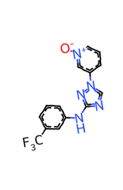 [O-][n+]1cccc(-n2cnc(Nc3cccc(C(F)(F)F)c3)n2)c1